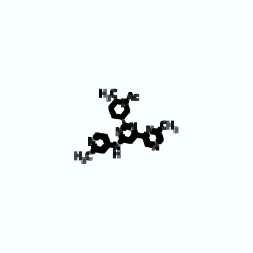 CC(=O)N1C[C@H](c2nc(Nc3ccnc(C)c3)cc(-c3cncc(C)n3)n2)CC[C@@H]1C